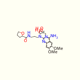 COc1cc2nc(N(C)CCCNC(=O)C3CCCO3)nc(N)c2cc1OC.O.O